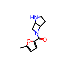 Cc1ccc(C(=O)N2CC3NCCC32)o1